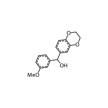 COc1cccc(C(O)c2ccc3c(c2)OCCO3)c1